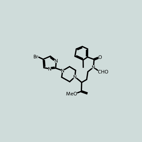 C=C(OC)C(CCN(C=O)C(=O)c1ccccc1C)N1CCN(c2ncc(Br)cn2)CC1